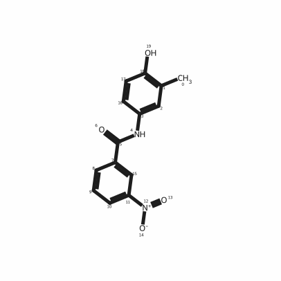 Cc1cc(NC(=O)c2cccc([N+](=O)[O-])c2)ccc1O